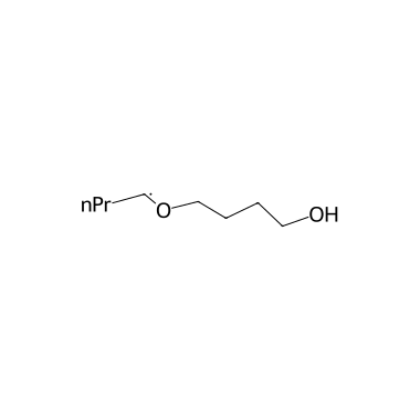 [CH2]CC[CH]OCCCCO